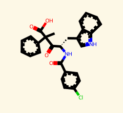 CC(C(=O)O)(C(=O)[C@H](Cc1c[nH]c2ccccc12)NC(=O)c1ccc(Cl)cc1)c1ccccc1